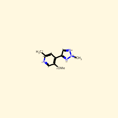 COc1cnc(C)cc1-c1cnn(C)n1